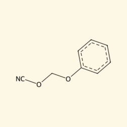 N#COCOc1ccccc1